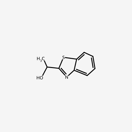 CC(O)c1nc2ccccc2s1